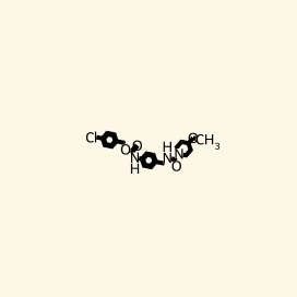 COC1CCN(C(=O)NCc2ccc(NC(=O)OCc3ccc(Cl)cc3)cc2)CC1